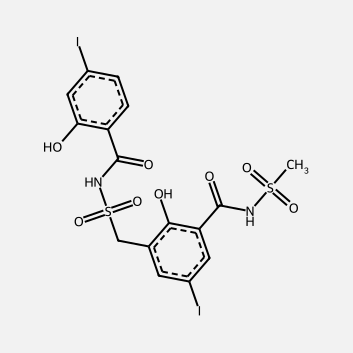 CS(=O)(=O)NC(=O)c1cc(I)cc(CS(=O)(=O)NC(=O)c2ccc(I)cc2O)c1O